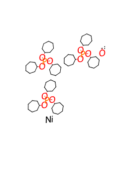 C1CCCC(OP(OC2CCCCCC2)OC2CCCCCC2)CC1.C1CCCC(OP(OC2CCCCCC2)OC2CCCCCC2)CC1.C1CCCC(OP(OC2CCCCCC2)OC2CCCCCC2)CC1.[C]=O.[Ni]